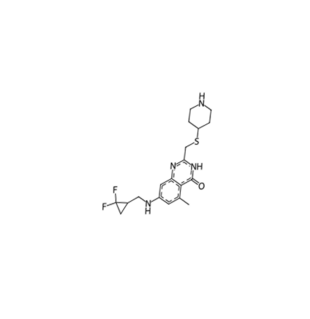 Cc1cc(NCC2CC2(F)F)cc2nc(CSC3CCNCC3)[nH]c(=O)c12